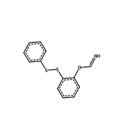 N=COc1ccccc1SSc1ccccc1